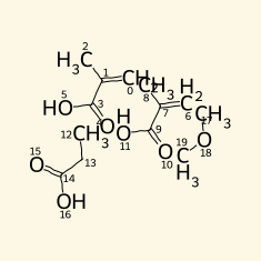 C=C(C)C(=O)O.C=C(C)C(=O)O.CCC(=O)O.COC